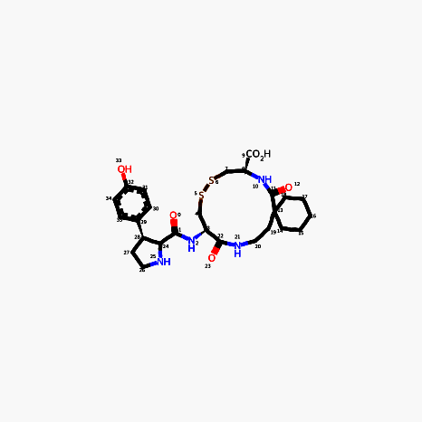 O=C(N[C@H]1CSSC[C@@H](C(=O)O)NC(=O)C2(CCCCC2)CCNC1=O)C1NCC[C@H]1c1ccc(O)cc1